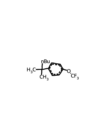 CCCCC(C)(C)c1ccc(OC(F)(F)F)cc1